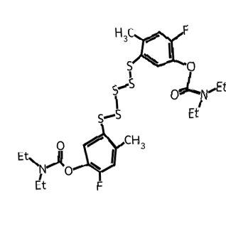 CCN(CC)C(=O)Oc1cc(SSSSSc2cc(OC(=O)N(CC)CC)c(F)cc2C)c(C)cc1F